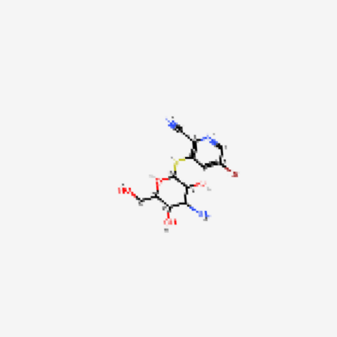 N#Cc1ncc(Br)cc1SC1OC(CO)C(O)C(N)C1O